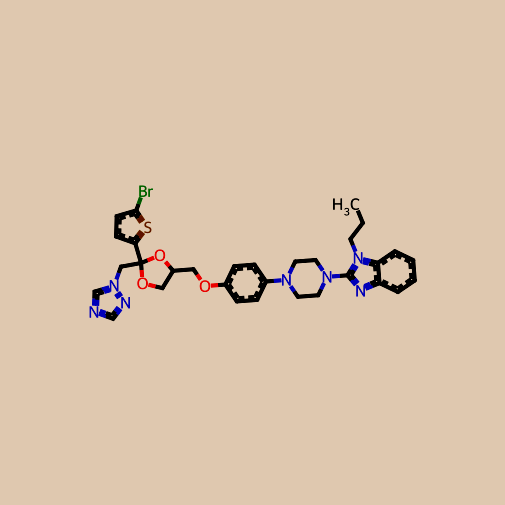 CCCn1c(N2CCN(c3ccc(OCC4COC(Cn5cncn5)(c5ccc(Br)s5)O4)cc3)CC2)nc2ccccc21